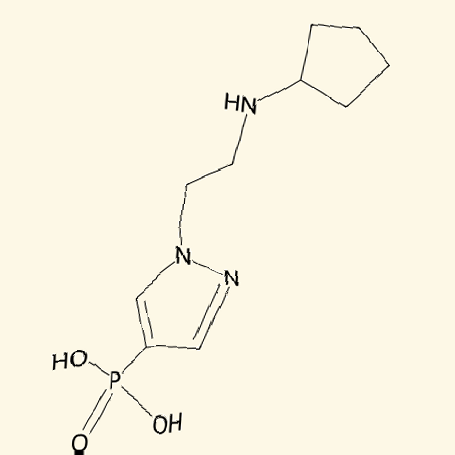 O=P(O)(O)c1cnn(CCNC2CCCC2)c1